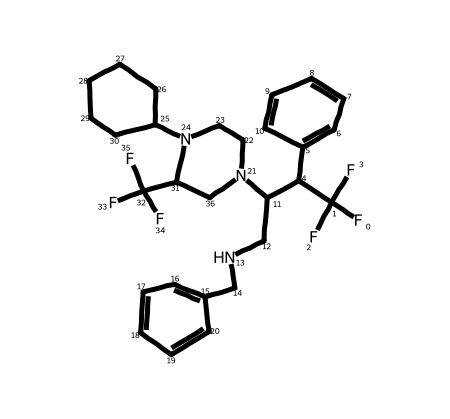 FC(F)(F)C(c1ccccc1)C(CNCc1ccccc1)N1CCN(C2CCCCC2)C(C(F)(F)F)C1